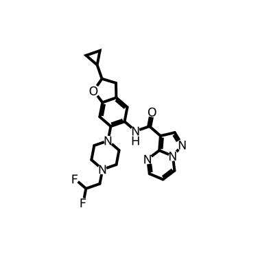 O=C(Nc1cc2c(cc1N1CCN(CC(F)F)CC1)OC(C1CC1)C2)c1cnn2cccnc12